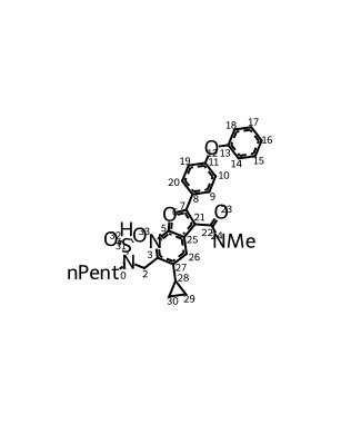 CCCCCN(Cc1nc2oc(-c3ccc(Oc4ccccc4)cc3)c(C(=O)NC)c2cc1C1CC1)[SH](=O)=O